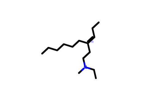 CC/C=C(\CCCCCC)CCN(C)CC